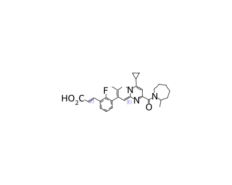 CC(C)=C(/C=C1/N=C(C(=O)N2CCCCCC2C)C=C(C2CC2)N1C)c1cccc(/C=C/C(=O)O)c1F